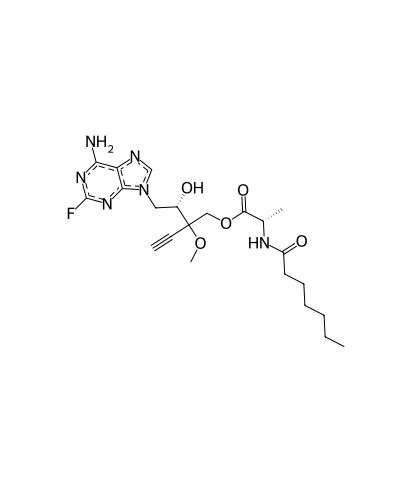 C#CC(COC(=O)[C@H](C)NC(=O)CCCCCC)(OC)[C@@H](O)Cn1cnc2c(N)nc(F)nc21